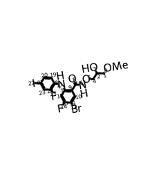 COCC(O)CONC(=O)c1cc(Br)c(F)cc1Nc1ccc(I)cc1F